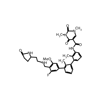 COc1cc(-c2cccc(-c3cccc(NC(=O)c4cn(C)c(=O)n(C)c4=O)c3C)c2C)cc(F)c1CNCCC1CCC(=O)N1